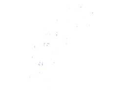 CC(=O)N1CCN(OC(=O)Cc2ccccc2)CC1